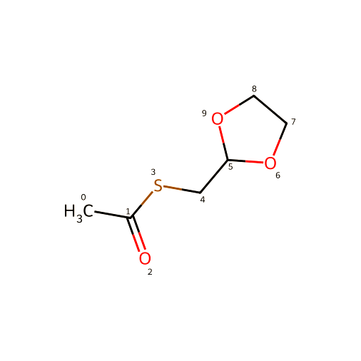 CC(=O)SCC1OCCO1